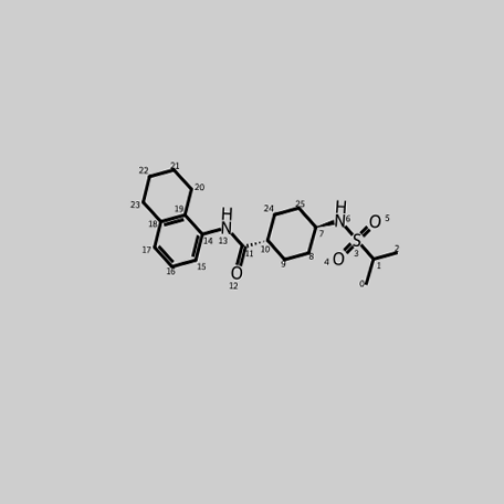 CC(C)S(=O)(=O)N[C@H]1CC[C@H](C(=O)Nc2cccc3c2CCCC3)CC1